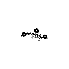 C[C@H](NC(=O)Cc1cc(F)cc(F)c1)C(=O)N(C(=O)CNCCCc1ccc(I)cc1)c1ccccc1